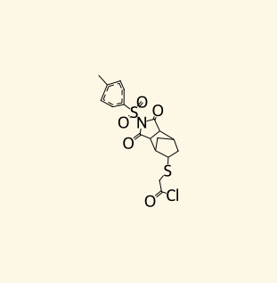 Cc1ccc(S(=O)(=O)N2C(=O)C3C4CC(SCC(=O)Cl)C(C4)C3C2=O)cc1